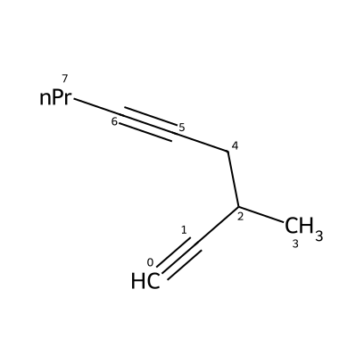 C#CC(C)CC#CC[CH]C